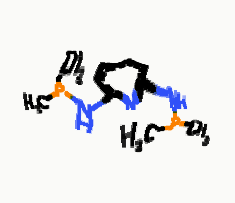 CP(C)Nc1cccc(NP(C)C)n1